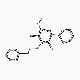 COc1nn(-c2ccccc2)c(=O)n(CCCc2ccccc2)c1=O